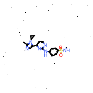 CNS(=O)(=O)c1ccc(Nc2nccc(-c3cnc(C)n3C3CC3)n2)cc1